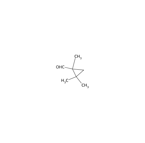 CC1(C)CC1(C)C=O